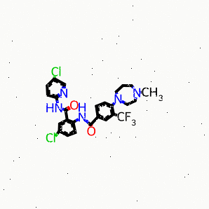 CN1CCCN(c2ccc(C(=O)Nc3ccc(Cl)cc3C(=O)Nc3ccc(Cl)cn3)cc2C(F)(F)F)CC1